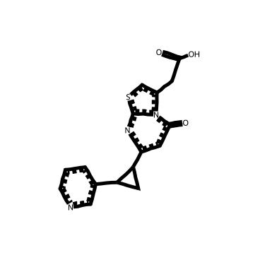 O=C(O)Cc1csc2nc(C3CC3c3cccnc3)cc(=O)n12